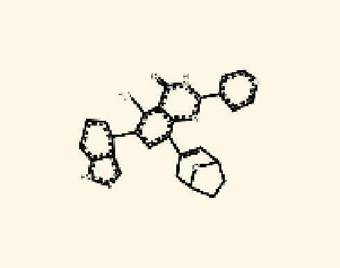 Nc1c(-c2cccc3[nH]ncc23)cc(C2=CC3CCC(C2)O3)c2nc(-c3ccncc3)[nH]c(=O)c12